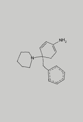 NC1=CCC(Cc2ccccc2)(N2CCCCC2)C=C1